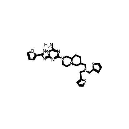 Nc1nc(N2CCN3CC(CN(Cc4cccs4)Cc4cccs4)CCC3C2)nc2nc(-c3ccco3)nn12